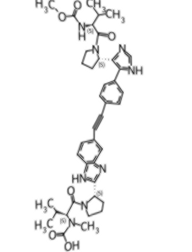 COC(=O)N[C@H](C(=O)N1CCC[C@H]1c1nc[nH]c1-c1ccc(C#Cc2ccc3[nH]c([C@@H]4CCCN4C(=O)[C@H](C(C)C)N(C)C(=O)O)nc3c2)cc1)C(C)C